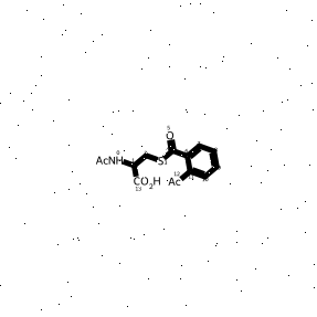 CC(=O)NC(CSC(=O)c1ccccc1C(C)=O)C(=O)O